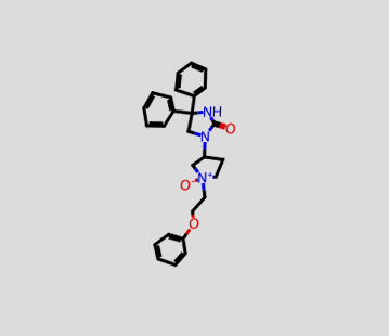 O=C1NC(c2ccccc2)(c2ccccc2)CN1C1CC[N+]([O-])(CCOc2ccccc2)C1